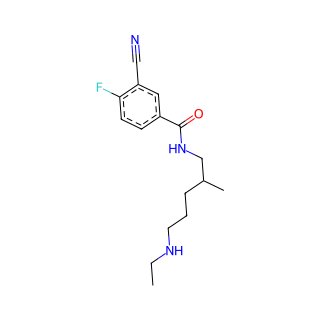 CCNCCCC(C)CNC(=O)c1ccc(F)c(C#N)c1